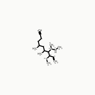 C#CCCC(C)CC(C)C(C(C=C)SC)N(C)NC